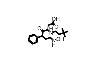 CC(C)(C)CCN[C@H](CC(=O)O)C(=O)C(CCNO)c1ccccc1